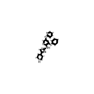 c1ccc(Sc2cc(Sc3ccccn3)cnc2NC2=NC(C3CCNCC3)CS2)cc1